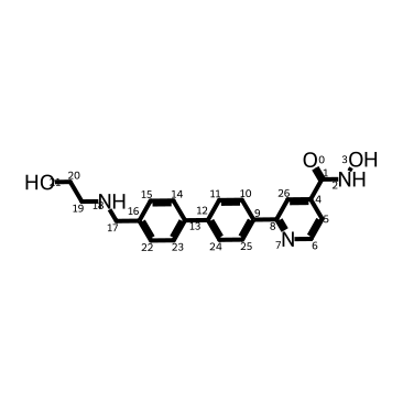 O=C(NO)c1ccnc(-c2ccc(-c3ccc(CNCCO)cc3)cc2)c1